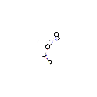 CCOC(=O)CN(Cc1cccc(OCc2nc(-c3cccs3)oc2C)c1)S(=O)(=O)N1CCc2ccccc21